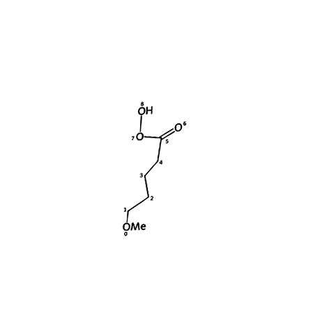 COCCCCC(=O)OO